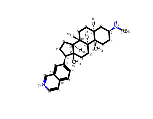 CC(C)(C)N[C@H]1CC[C@@]2(C)[C@@H](CC[C@@H]3[C@@H]2CC[C@]2(C)[C@@H](c4ccc5ccncc5c4)CC[C@@H]32)C1